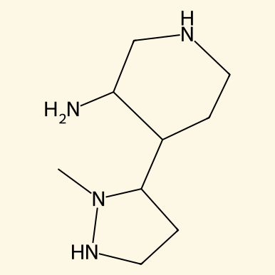 CN1NCCC1C1CCNCC1N